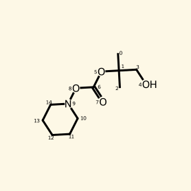 CC(C)(CO)OC(=O)ON1CCCCC1